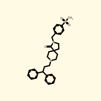 CS(=O)(=O)c1ccc(CN2CCC3(CCN(CCC(c4ccccc4)c4ccccc4)CC3)C2=O)cc1